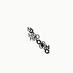 CN(C)c1ccccc1CNS(=O)(=O)c1ccc(NC(=O)NCc2ccncc2)cc1